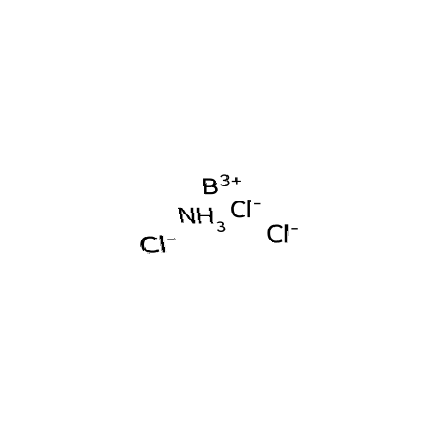 N.[B+3].[Cl-].[Cl-].[Cl-]